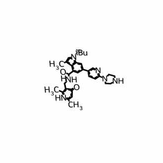 CC[C@H](C)n1cc(C)c2c(C(O)NCc3c(C)[nH]c(C)cc3=O)cc(-c3ccc(N4CCNCC4)nc3)cc21